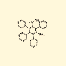 NNc1c(-c2ccccc2)c(N)c(-c2ccccc2)c(-c2ccccc2)c1-c1ccccc1